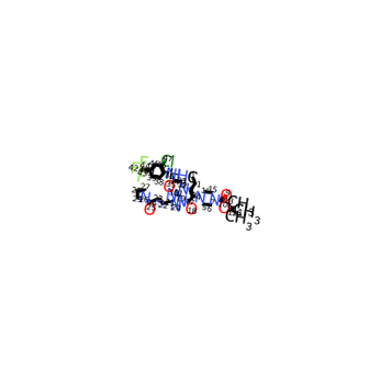 CCc1c(N2CCN(C(=O)OC(C)(C)C)CC2)c(=O)n2nc(/C=C/C(=O)N3CCC3)nc2n1CC(=O)Nc1ccc(C(F)(F)F)cc1Cl